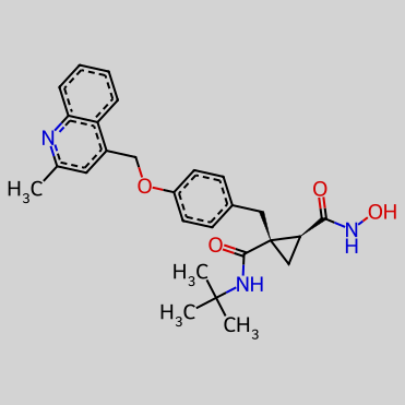 Cc1cc(COc2ccc(C[C@]3(C(=O)NC(C)(C)C)C[C@@H]3C(=O)NO)cc2)c2ccccc2n1